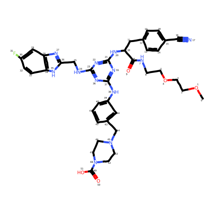 COCCOCCNC(=O)C(Cc1ccc(C#N)cc1)Nc1nc(NCc2nc3cc(F)ccc3[nH]2)nc(Nc2cccc(CN3CCN(C(=O)O)CC3)c2)n1